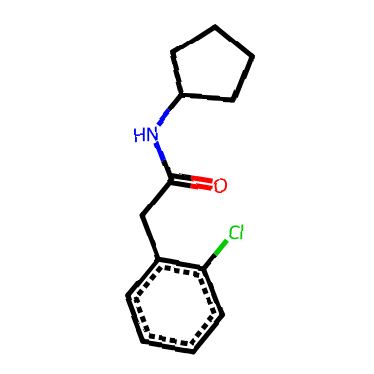 O=C(Cc1ccccc1Cl)NC1CCCC1